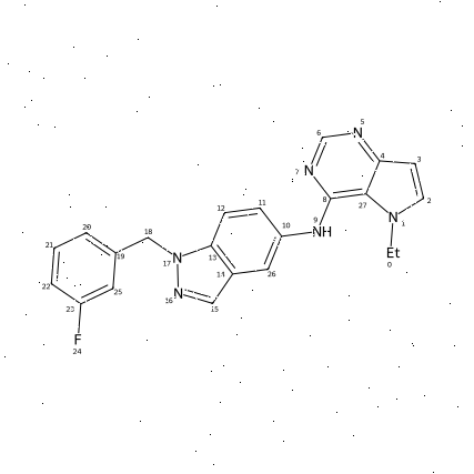 [CH2]Cn1ccc2ncnc(Nc3ccc4c(cnn4Cc4cccc(F)c4)c3)c21